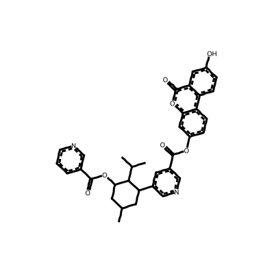 CC1CC(OC(=O)c2cccnc2)C(C(C)C)C(c2cncc(C(=O)Oc3ccc4c(c3)oc(=O)c3cc(O)ccc34)c2)C1